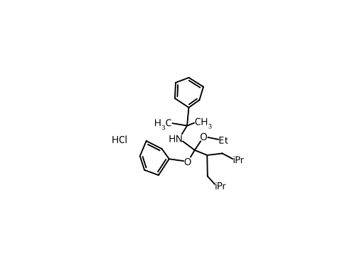 CCOC(NC(C)(C)c1ccccc1)(Oc1ccccc1)C(CC(C)C)CC(C)C.Cl